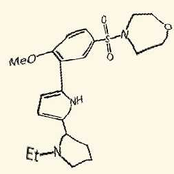 CCN1CCCC1c1ccc(-c2cc(S(=O)(=O)N3CCOCC3)ccc2OC)[nH]1